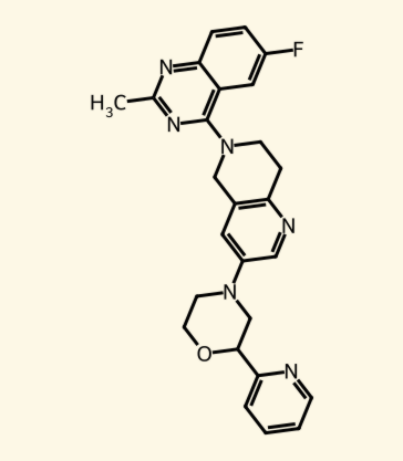 Cc1nc(N2CCc3ncc(N4CCOC(c5ccccn5)C4)cc3C2)c2cc(F)ccc2n1